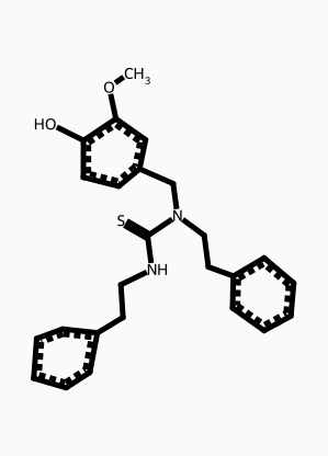 COc1cc(CN(CCc2ccccc2)C(=S)NCCc2ccccc2)ccc1O